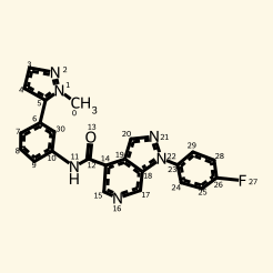 Cn1nccc1-c1cccc(NC(=O)c2cncc3c2cnn3-c2ccc(F)cc2)c1